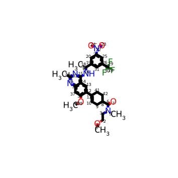 COCCN(C)C(=O)C1CC=C(c2cc3c(N[C@H](C)c4cc([N+](=O)[O-])cc(C(F)(F)F)c4)nc(C)nc3cc2OC)CC1